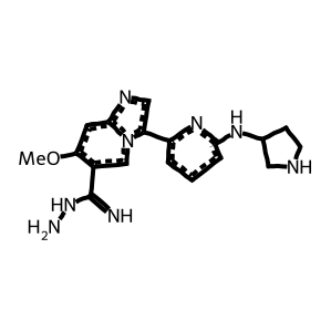 COc1cc2ncc(-c3cccc(NC4CCNC4)n3)n2cc1C(=N)NN